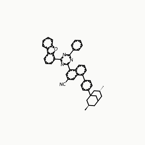 C[C@@H]1CC2C[C@@H](C)CC(c3ccc(-c4cccc5c(-c6nc(-c7ccccc7)nc(-c7cccc8c7oc7ccccc78)n6)cc(C#N)cc45)cc3)(C2)C1